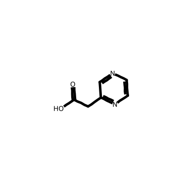 O=C(O)Cc1cnccn1